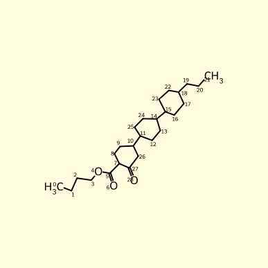 CCCCOC(=O)C1CCC(C2CCC(C3CCC(CCC)CC3)CC2)CC1=O